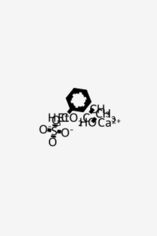 CCOC(C)=O.CO.Cc1ccccc1.O=S(=O)([O-])[O-].[Ca+2]